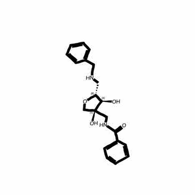 O=C(NC[C@]1(O)CO[C@H](CNCc2ccccc2)[C@H]1O)c1ccccc1